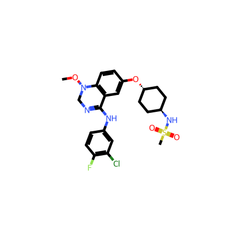 CON1CN=C(Nc2ccc(F)c(Cl)c2)c2cc(O[C@H]3CC[C@H](NS(C)(=O)=O)CC3)ccc21